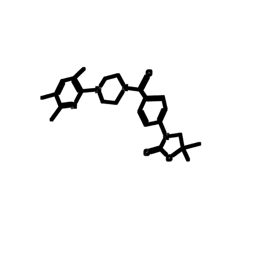 Cc1cc(C)c(N2CCN(C(=O)c3ccc(N4CC(C)(C)OC4=O)cc3)CC2)nc1C